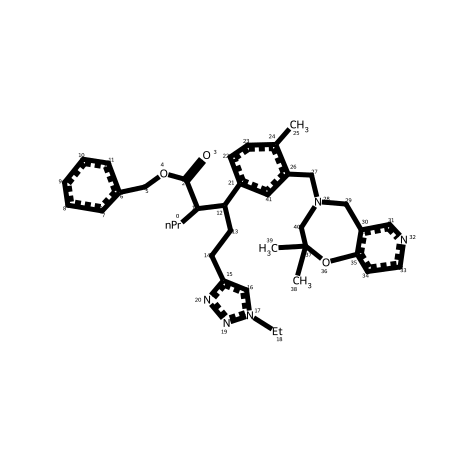 CCCC(C(=O)OCc1ccccc1)C(CCc1cn(CC)nn1)c1ccc(C)c(CN2Cc3cnccc3OC(C)(C)C2)c1